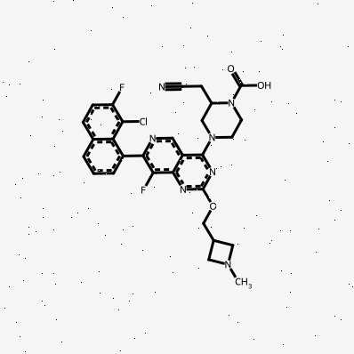 CN1CC(COc2nc(N3CCN(C(=O)O)C(CC#N)C3)c3cnc(-c4cccc5ccc(F)c(Cl)c45)c(F)c3n2)C1